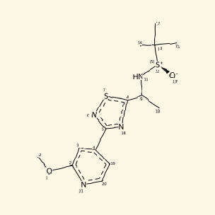 COc1cc(-c2nsc(C(C)N[S@+]([O-])C(C)(C)C)n2)ccn1